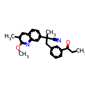 CCC(=O)c1cccc(CC(C)(C#N)c2ccc3cc(C)c(OC)nc3c2)c1